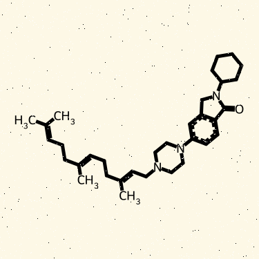 CC(C)=CCC/C(C)=C/CC/C(C)=C/CN1CCN(c2ccc3c(c2)CN(C2CCCCC2)C3=O)CC1